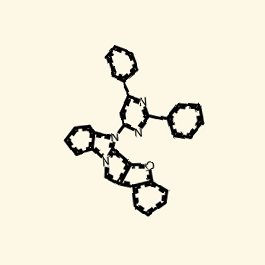 c1ccc(-c2cc(-n3c4ccccc4n4cc5c6ccccc6oc5c34)nc(-c3ccccc3)n2)cc1